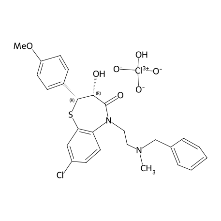 COc1ccc([C@H]2Sc3cc(Cl)ccc3N(CCN(C)Cc3ccccc3)C(=O)[C@H]2O)cc1.[O-][Cl+3]([O-])([O-])O